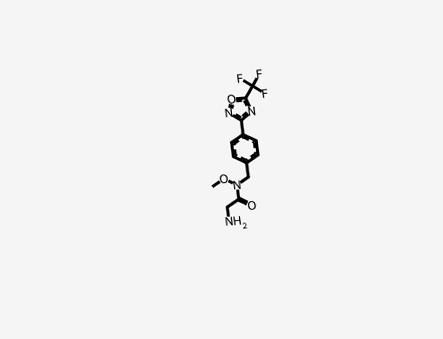 CON(Cc1ccc(-c2noc(C(F)(F)F)n2)cc1)C(=O)CN